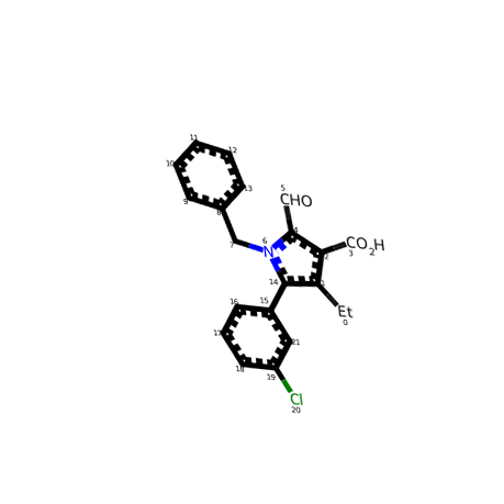 CCc1c(C(=O)O)c(C=O)n(Cc2ccccc2)c1-c1cccc(Cl)c1